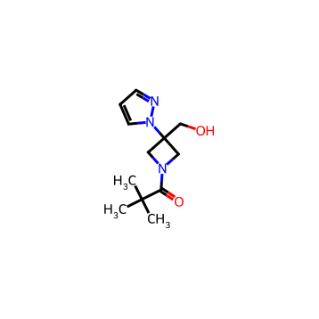 CC(C)(C)C(=O)N1CC(CO)(n2cccn2)C1